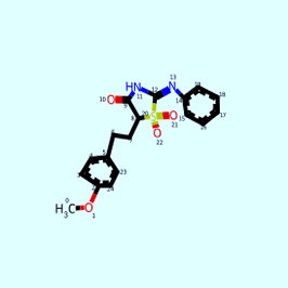 COc1ccc(CCC2C(=O)NC(=Nc3ccccc3)S2(=O)=O)cc1